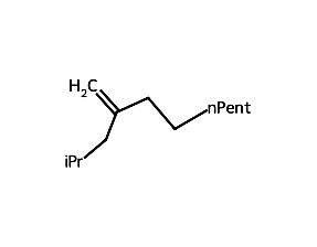 C=C(CCCCCCC)CC(C)C